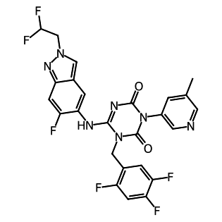 Cc1cncc(-n2c(=O)nc(Nc3cc4cn(CC(F)F)nc4cc3F)n(Cc3cc(F)c(F)cc3F)c2=O)c1